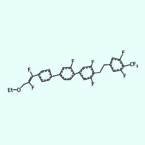 CCOC/C(F)=C(\F)c1ccc(-c2ccc(-c3cc(F)c(CCc4cc(F)c(C(F)(F)F)c(F)c4)c(F)c3)c(F)c2)cc1